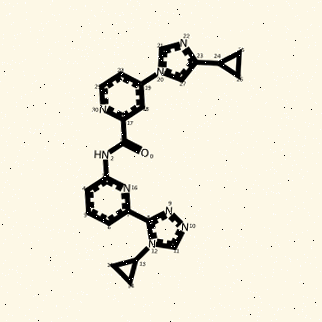 O=C(Nc1cccc(-c2nncn2C2CC2)n1)c1cc(-n2cnc(C3CC3)c2)ccn1